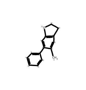 Cc1cc2c(cc1-c1ccccc1)OCC2